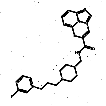 O=C(NCC1CCN(CCCc2cccc(F)c2)CC1)C1=Cc2cnc3cccc(n23)S1